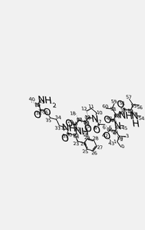 CC[C@H](C)[C@@H]([C@@H](CC(=O)N1CCC[C@H]1[C@H](OC)[C@@H](C)C(=O)N[C@@H](Cc1ccccc1)C(=O)NCCCOC(=O)[C@H](C)N)OC)N(C)C(=O)[C@@H](NC(=O)[C@@H](NC)C(C)C)C(C)C